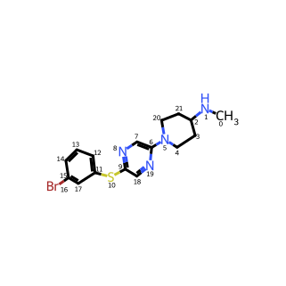 CNC1CCN(c2cnc(Sc3cccc(Br)c3)cn2)CC1